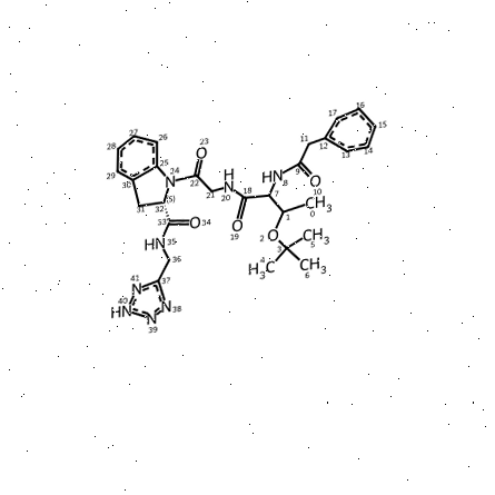 CC(OC(C)(C)C)C(NC(=O)Cc1ccccc1)C(=O)NCC(=O)N1c2ccccc2C[C@H]1C(=O)NCc1nn[nH]n1